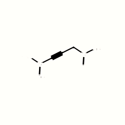 CCCCN(C#CCN(CCCC)CCCC)CCCC